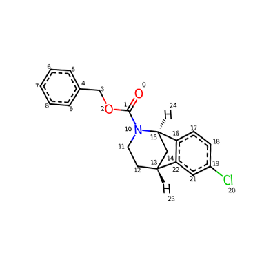 O=C(OCc1ccccc1)N1CC[C@@H]2C[C@@H]1c1ccc(Cl)cc12